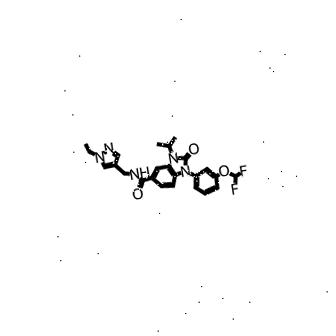 CCn1cc(CNC(=O)c2ccc3c(c2)n(C(C)C)c(=O)n3-c2cccc(OC(F)F)c2)cn1